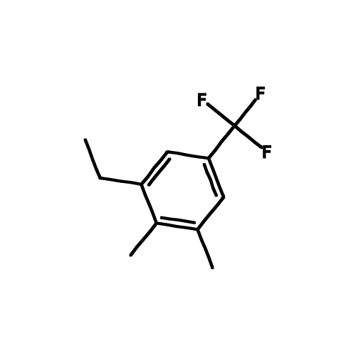 CCc1cc(C(F)(F)F)cc(C)c1C